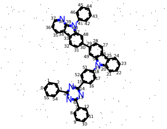 c1ccc(-c2nc(-c3ccccc3)nc(-c3ccc(-n4c5ccccc5c5ccc(-c6ccc7c8cccnc8n(-c8ccccc8)c7c6)cc54)cc3)n2)cc1